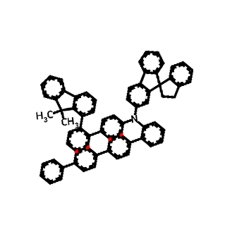 CC1(C)c2ccccc2-c2cccc(-c3ccccc3-c3ccc(N(c4ccc5c(c4)C4(CCc6ccccc64)c4ccccc4-5)c4ccccc4-c4ccc(-c5ccc(-c6ccccc6)cc5)cc4)cc3)c21